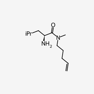 C=CCCCN(C)C(=O)[C@@H](N)CC(C)C